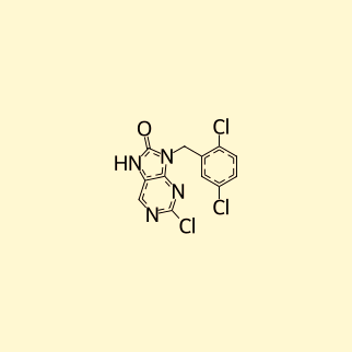 O=c1[nH]c2cnc(Cl)nc2n1Cc1cc(Cl)ccc1Cl